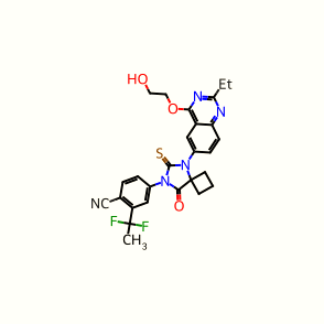 CCc1nc(OCCO)c2cc(N3C(=S)N(c4ccc(C#N)c(C(C)(F)F)c4)C(=O)C34CCC4)ccc2n1